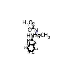 COC(=O)/N=C(\Nc1nc2ccccc2s1)SC